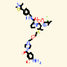 COc1cc(C(=O)N2CCN(CCOCCSC(C)(C)[C@H](NC(=O)C3(F)CC3)C(=O)N3CCC[C@H]3C(=O)NCc3ccc(-c4scnc4C)cc3)CC2)ccc1N